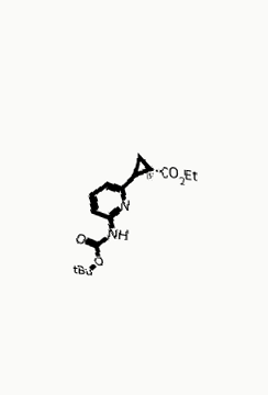 CCOC(=O)[C@H]1CC1c1cccc(NC(=O)OC(C)(C)C)n1